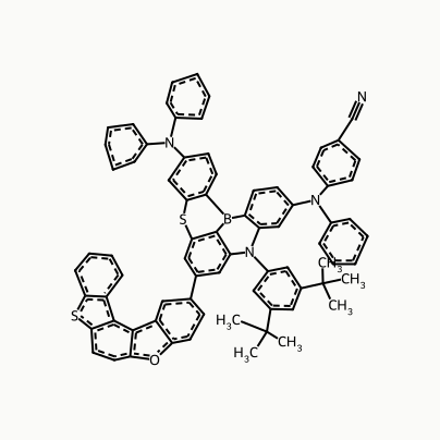 CC(C)(C)c1cc(N2c3cc(N(c4ccccc4)c4ccc(C#N)cc4)ccc3B3c4ccc(N(c5ccccc5)c5ccccc5)cc4Sc4cc(-c5ccc6oc7ccc8sc9ccccc9c8c7c6c5)cc2c43)cc(C(C)(C)C)c1